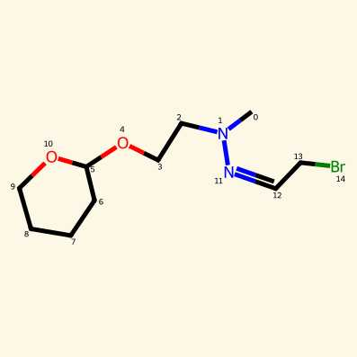 CN(CCOC1CCCCO1)/N=C\CBr